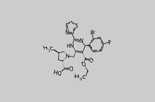 C=C1C[C@@H](C(=O)O)N(CC2=C(C(=O)OCC)[C@H](c3ccc(F)cc3Br)N=C(c3nccs3)N2)C1